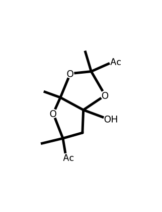 CC(=O)C1(C)CC2(O)OC(C)(C(C)=O)OC2(C)O1